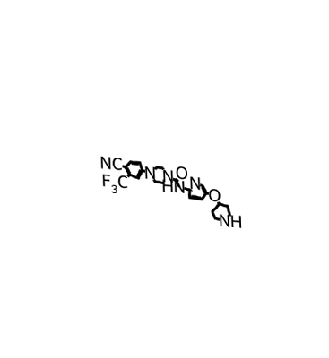 N#Cc1ccc(N2CCN(C(=O)Nc3ccc(OC4CCNCC4)cn3)CC2)cc1C(F)(F)F